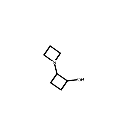 OC1CCC1N1CCC1